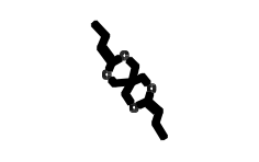 CCC=C1OCC2(CO1)COC(=CCC)OC2